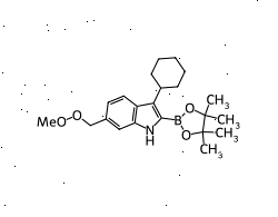 COOCc1ccc2c(C3CCCCC3)c(B3OC(C)(C)C(C)(C)O3)[nH]c2c1